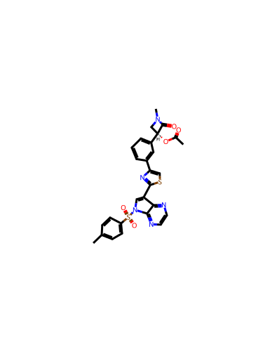 CC(=O)O[C@]1(c2cccc(-c3csc(-c4cn(S(=O)(=O)c5ccc(C)cc5)c5nccnc45)n3)c2)CN(C)C1=O